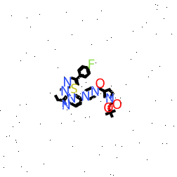 CCc1nc2ccc(N3CCN(C(=O)C4CCN(C(=O)OC(C)(C)C)C4)CC3)cn2c1N(C)C1=NCC(c2ccc(F)cc2)=CS1